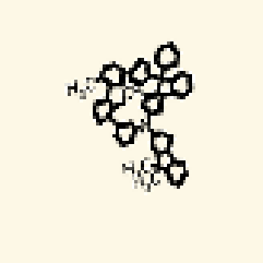 CCc1c(-c2cccc(N(c3ccc4c(c3)-c3ccccc3C4(c3ccccc3)c3ccccc3)c3ccc4c(c3)C(C)(C)c3ccccc3-4)c2)cccc1-c1c#cccc1C